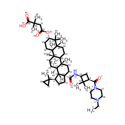 CCN1CCN(C(=O)[C@@H]2C[C@H](NC(=O)[C@]34CC[C@@H](C5(C)CC5)[C@@H]3[C@H]3CC[C@@H]5[C@@]6(C)CC[C@H](OC(=O)CC(C)(C)C(=O)O)C(C)(C)[C@@H]6CC[C@@]5(C)[C@]3(C)CC4)C2(C)C)CC1